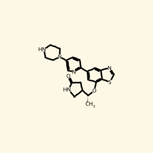 C[C@@H](Oc1cc(-c2ccc(N3CCNCC3)cn2)cc2ncsc12)C1CNC(=O)C1